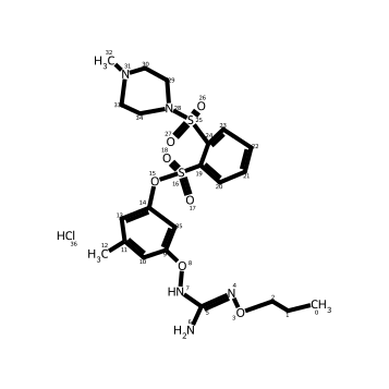 CCCON=C(N)NOc1cc(C)cc(OS(=O)(=O)c2ccccc2S(=O)(=O)N2CCN(C)CC2)c1.Cl